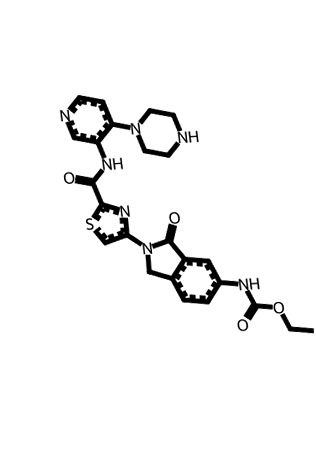 CCOC(=O)Nc1ccc2c(c1)C(=O)N(c1csc(C(=O)Nc3cnccc3N3CCNCC3)n1)C2